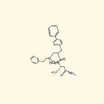 CC(CC(N)=O)NC(=O)C(Cc1ccc(-c2ccccc2)cc1)CP(O)CCc1ccccc1